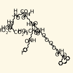 C[C@H](CCCOCN(PO)C(CCC(=O)O)C(=O)O)NC(=O)CC[C@H](NC(=O)CCCCCNC(=O)CCC(NC(=O)CCOCCOCCOCCOCCNC(=O)CCC(=O)N1Cc2ccccc2C#Cc2ccccc21)C(=O)NC(CCCCNC(=O)CCCc1ccc(I)cc1)C(=O)O)C(=O)O